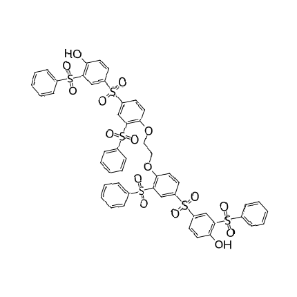 O=S(=O)(c1ccc(O)c(S(=O)(=O)c2ccccc2)c1)c1ccc(OCCOc2ccc(S(=O)(=O)c3ccc(O)c(S(=O)(=O)c4ccccc4)c3)cc2S(=O)(=O)c2ccccc2)c(S(=O)(=O)c2ccccc2)c1